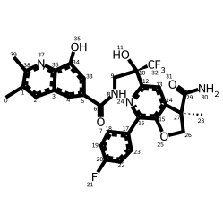 Cc1cc2cc(C(=O)NC[C@](O)(c3cc4c(c(-c5ccc(F)cc5)n3)OC[C@]4(C)C(N)=O)C(F)(F)F)cc(O)c2nc1C